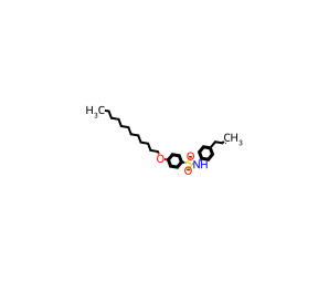 C[CH]Cc1ccc(NS(=O)(=O)c2ccc(OCCCCCCCCCCCC)cc2)cc1